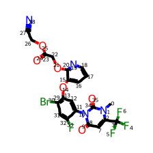 Cn1c(C(F)(F)F)cc(=O)n(-c2cc(Oc3cccnc3OCC(=O)OCC#N)c(Br)cc2F)c1=O